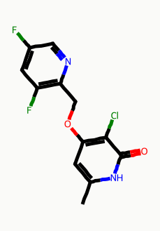 Cc1cc(OCc2ncc(F)cc2F)c(Cl)c(=O)[nH]1